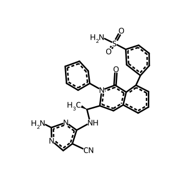 C[C@H](Nc1nc(N)ncc1C#N)c1cc2cccc(-c3cccc(S(N)(=O)=O)c3)c2c(=O)n1-c1ccccc1